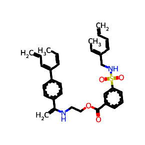 C=C/C=C\C(=C/C)CNS(=O)(=O)c1cccc(C(=O)OCCNC(=C)c2ccc(C(/C=C\C)=C/C=C)cc2)c1